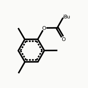 CCC(C)C(=O)Oc1c(C)cc(C)cc1C